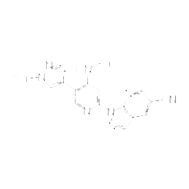 CCCn1cc(-c2cnc(-n3ncc4cc(C#N)cnc43)cc2NC(C)C)nn1